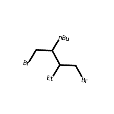 C[CH]CCC(CBr)C(CC)CBr